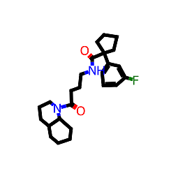 O=C(CCCNC(=O)C1(c2cccc(F)c2)CCCC1)N1CCCC2CCCCC21